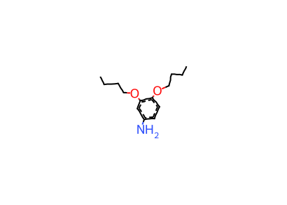 CCCCOc1ccc(N)cc1OCCCC